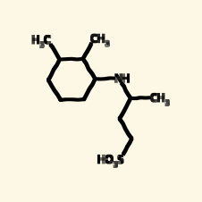 CC(CCS(=O)(=O)O)NC1CCCC(C)C1C